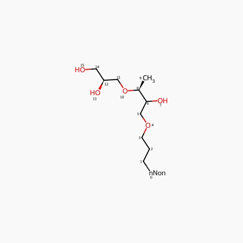 CCCCCCCCCCCCOCC(O)[C@H](C)OC[C@@H](O)CO